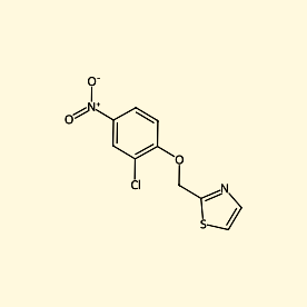 O=[N+]([O-])c1ccc(OCc2nccs2)c(Cl)c1